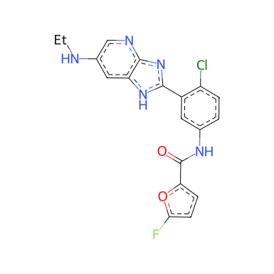 CCNc1cnc2nc(-c3cc(NC(=O)c4ccc(F)o4)ccc3Cl)[nH]c2c1